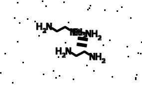 C=C.C=C.NCCN.NCCN.[CH2]CN